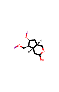 OC1C[C@H]2[C@@H](CO1)C[C@@H](OI)[C@@H]2COI